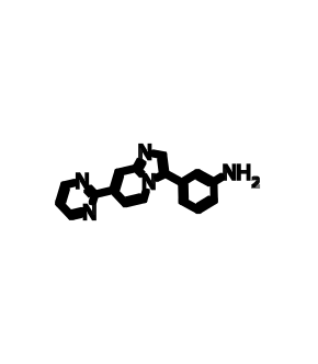 Nc1cccc(-c2cnc3cc(-c4ncccn4)ccn23)c1